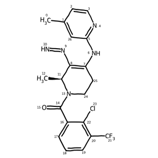 Cc1ccnc(NC2=C(N=N)[C@H](C)N(C(=O)c3cccc(C(F)(F)F)c3Cl)CC2)c1